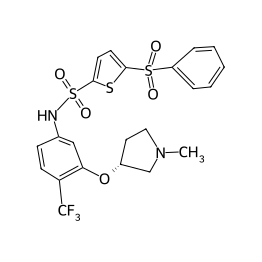 CN1CC[C@@H](Oc2cc(NS(=O)(=O)c3ccc(S(=O)(=O)c4ccccc4)s3)ccc2C(F)(F)F)C1